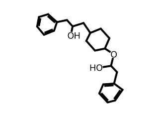 OC(Cc1ccccc1)CC1CCC(OC(O)Cc2ccccc2)CC1